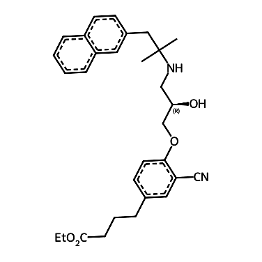 CCOC(=O)CCCc1ccc(OC[C@H](O)CNC(C)(C)Cc2ccc3ccccc3c2)c(C#N)c1